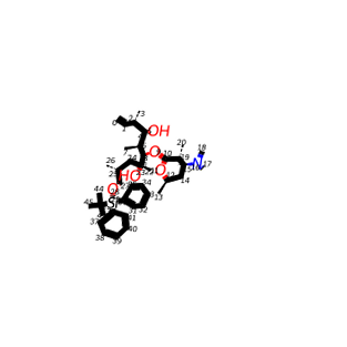 C=C[C@H](C)[C@@H](O)[C@H](C)[C@@H](OC1O[C@H](C)C[C@H](N(C)C)[C@H]1C)[C@](C)(O)C[C@@H](C)CO[Si](c1ccccc1)(c1ccccc1)C(C)(C)C